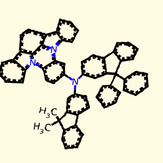 CC1(C)c2ccccc2-c2ccc(N(c3ccc4c(c3)C(c3ccccc3)(c3ccccc3)c3ccccc3-4)c3ccc4c(c3)n3c5ccccc5c5ccc6c7ccccc7n4c6c53)cc21